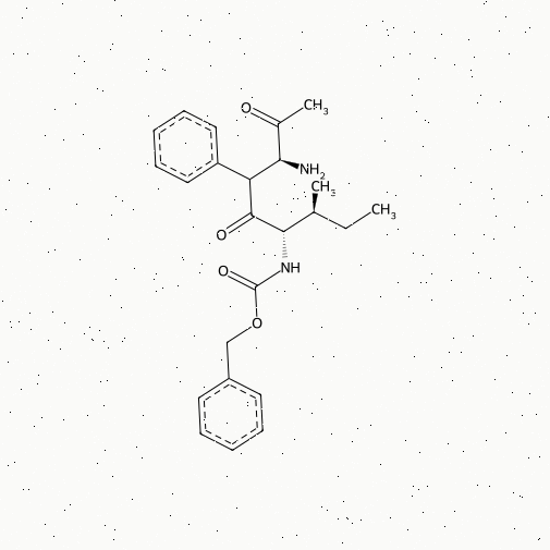 CC[C@H](C)[C@H](NC(=O)OCc1ccccc1)C(=O)C(c1ccccc1)[C@H](N)C(C)=O